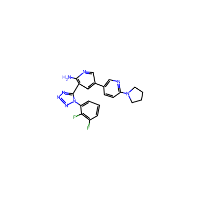 Nc1ncc(-c2ccc(N3CCCC3)nc2)cc1-c1nnnn1-c1cccc(F)c1F